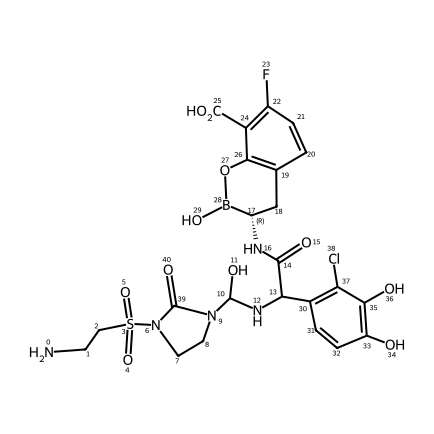 NCCS(=O)(=O)N1CCN(C(O)NC(C(=O)N[C@H]2Cc3ccc(F)c(C(=O)O)c3OB2O)c2ccc(O)c(O)c2Cl)C1=O